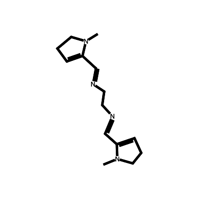 CN1CCC=C1C=NCCN=CC1=CCCN1C